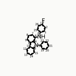 Fc1ccc(Nc2cccc3c4ccccc4n(-c4ccccc4)c23)cc1